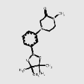 CN1CCN(c2cccc(B3OC(C)(C)C(C)(C)O3)c2)CC1=O